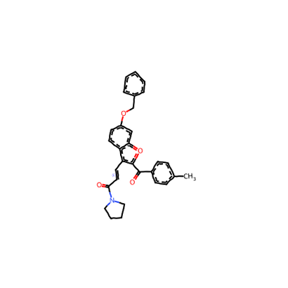 Cc1ccc(C(=O)c2oc3cc(OCc4ccccc4)ccc3c2/C=C/C(=O)N2CCCC2)cc1